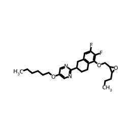 CCCCCCOc1cnc(C2CCc3c(cc(F)c(F)c3OCC3OC3CCC)C2)nc1